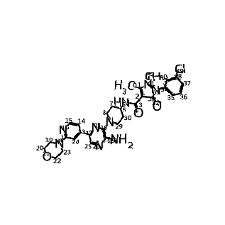 Cc1c(C(=O)NC2CCN(c3nc(-c4ccnc(N5CCOCC5)c4)cnc3N)CC2)c(=O)n(-c2cccc(Cl)c2)n1C